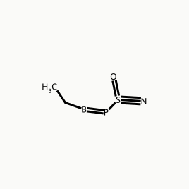 CCB=PS(#N)=O